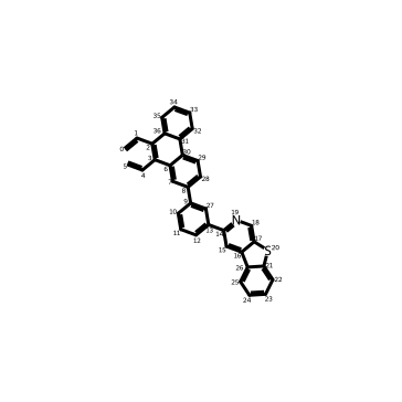 C=Cc1c(C=C)c2cc(-c3cccc(-c4cc5c(cn4)sc4ccccc45)c3)ccc2c2ccccc12